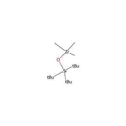 CC(C)(C)[Si]([O][Zr]([CH3])([CH3])[CH3])(C(C)(C)C)C(C)(C)C